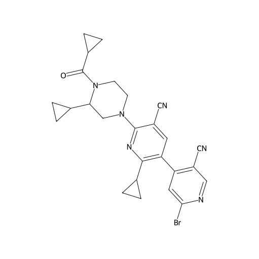 N#Cc1cnc(Br)cc1-c1cc(C#N)c(N2CCN(C(=O)C3CC3)C(C3CC3)C2)nc1C1CC1